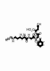 C#CC[C@@H](NC(=O)[C@H](Cc1ccccc1)N(C)C(=O)CNC(=O)[C@@H](N)CCCCNN=[N+]=[N-])C(=O)O